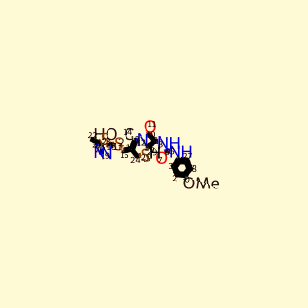 COc1ccc(NC(=O)NC2C(=O)N3C(C(=O)O)=C(CSc4nnc(C)s4)CS[C@H]23)cc1